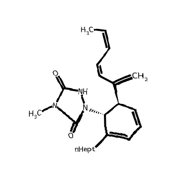 C=C(/C=C\C=C/C)[C@H]1C=CC=C(CCCCCCC)[C@@H]1n1[nH]c(=O)n(C)c1=O